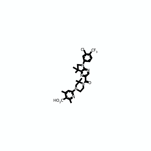 Cc1cc(N2CCN(C(=O)c3cnc4c(n3)C(C)(C)CN4c3ccc(C(F)(F)F)c(Cl)c3)C(C)(C)C2)nc(C)c1C(=O)O